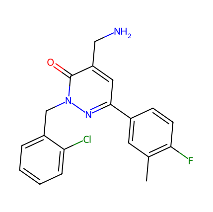 Cc1cc(-c2cc(CN)c(=O)n(Cc3ccccc3Cl)n2)ccc1F